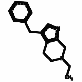 CCN1CCn2c(Cc3ccccc3)cnc2C1